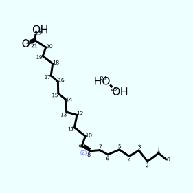 CCCCCCCC/C=C\CCCCCCCCCCCC(=O)O.OO